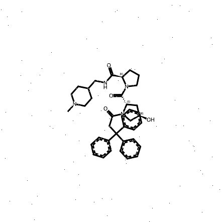 CN1CCC(CNC(=O)[C@H]2CCCN2C(=O)[C@@H]2C[C@@H](O)CN2C(=O)CC(c2ccccc2)(c2ccccc2)c2ccccc2)CC1